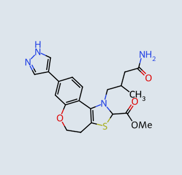 COC(=O)C1SC2=C(c3ccc(-c4cn[nH]c4)cc3OCC2)N1CC(C)CC(N)=O